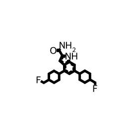 NC(=O)c1cc2c(C3CCC(CF)CC3)cc(C3CCC(CF)CC3)cc2[nH]1